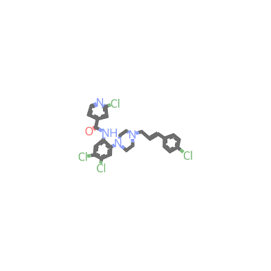 O=C(Nc1cc(Cl)c(Cl)cc1N1CCN(CC=Cc2ccc(Cl)cc2)CC1)c1ccnc(Cl)c1